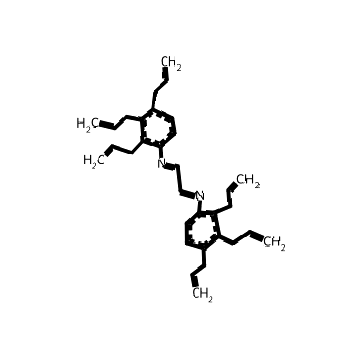 C=CCc1ccc(N=CC=Nc2ccc(CC=C)c(CC=C)c2CC=C)c(CC=C)c1CC=C